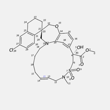 COC(=O)[C@@]1(O)CS(=O)(=O)N(C)C/C=C/CCCCN2C[C@@]3(CCCc4cc(Cl)ccc43)COc3ccc1cc32